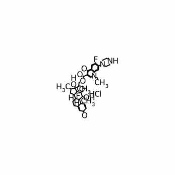 CCn1cc(C(=O)OCC(=O)[C@@]2(O)[C@H](C)C[C@H]3[C@@H]4CCC5=CC(=O)C=C[C@]5(C)[C@@]4(F)C(O)C[C@@]32C)c(=O)c2cc(F)c(N3CCNCC3)cc21.Cl